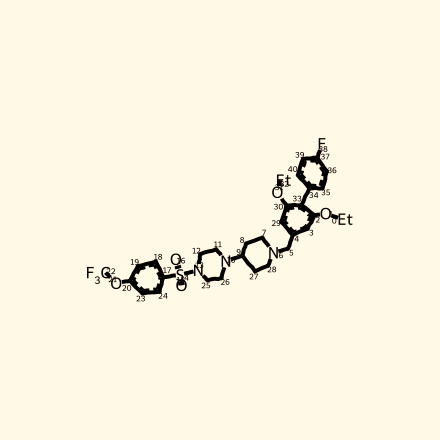 CCOc1cc(CN2CCC(N3CCN(S(=O)(=O)c4ccc(OC(F)(F)F)cc4)CC3)CC2)cc(OCC)c1-c1ccc(F)cc1